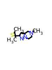 CC1SC1(C)c1cc2n(n1)CCN(C)C2